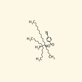 CCCCCCCCCCCCC(CCCCCC)C(P)(CCCCCC)CCCCCC.N#Cc1ccc(C(=O)O)cc1